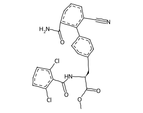 COC(=O)[C@H](Cc1ccc(-c2c(C#N)cccc2C(N)=O)cc1)NC(=O)c1c(Cl)cccc1Cl